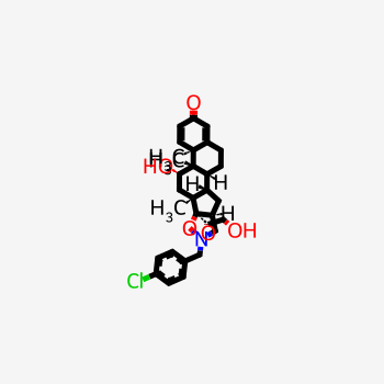 C[C@]12[C@@H](O)C[C@@]3(C)[C@@H](C[C@H]4CN(Cc5ccc(Cl)cc5)O[C@]43C(=O)CO)[C@@H]1CCC1=CC(=O)C=C[C@@]12C